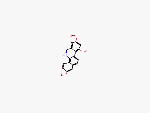 COc1cc2c(c3c[n+](C)c4c5cc6c(cc5ccc4c13)OCO6)OCO2